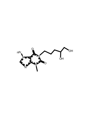 CCCn1cnc2c1c(=O)n(CCCC(O)CO)c(=O)n2C